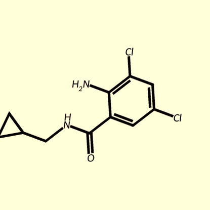 Nc1c(Cl)cc(Cl)cc1C(=O)NCC1CC1